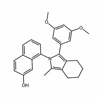 COc1cc(OC)cc(-c2c3c(c(C)n2-c2cccc4ccc(O)cc24)CCCC3)c1